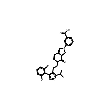 CC(C)c1onc(-c2c(Cl)cccc2Cl)c1COC1C=CC2=CN(c3cccc(C(=O)O)c3)CC2C1=O